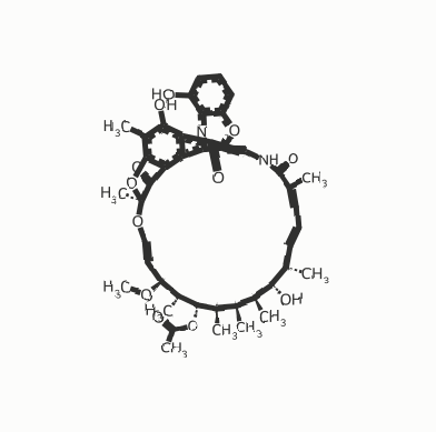 CO[C@H]1/C=C/O[C@@]2(C)Oc3c(C)c(O)c4c(=O)c(c5oc6cccc(O)c6nc-5c4c3C2=O)NC(=O)/C(C)=C\C=C\[C@H](C)[C@H](O)[C@@H](C)[C@@H](C)[C@@H](C)[C@H](OC(C)=O)[C@@H]1C